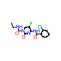 CCNC(=O)n1cc(F)c(NC(=O)c2ccccc2Cl)nc1=O